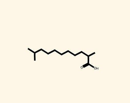 CC(C)CCCCCCCC(C)C(=O)O